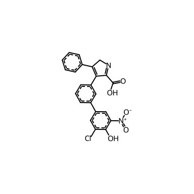 O=C(O)C1=NCC(c2ccccc2)=C1c1cccc(-c2cc(Cl)c(O)c([N+](=O)[O-])c2)c1